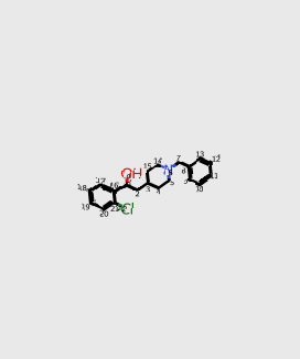 OC(CC1CCN(Cc2ccccc2)CC1)c1ccccc1Cl